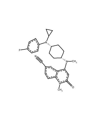 Cn1c(=O)cc(N(C)[C@H]2CC[C@@H](N(c3ccc(F)cc3)C3CC3)CC2)c2nc(C#N)ccc21